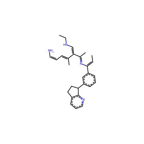 C\C=C(/N=C(C)/C(=C/NCC)C(/C)=C/C=C\N)c1cccc(C2CCc3cccnc32)c1